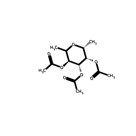 CC(=O)O[C@@H]1[C@H](OC(C)=O)[C@@H](OC(C)=O)C(C)O[C@@H]1C